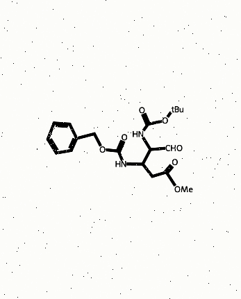 COC(=O)CC(NC(=O)OCc1ccccc1)C(C=O)NC(=O)OC(C)(C)C